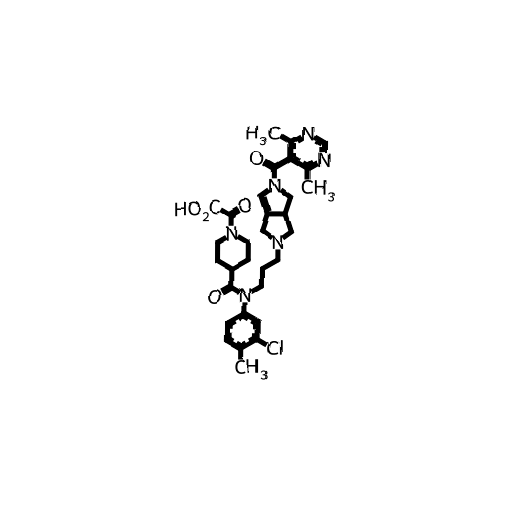 Cc1ccc(N(CCCN2CC3=CN(C(=O)c4c(C)ncnc4C)CC3C2)C(=O)C2CCN(C(=O)C(=O)O)CC2)cc1Cl